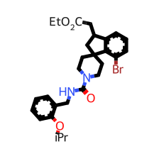 CCOC(=O)CC1CC2(CCN(C(=O)NCc3ccccc3OC(C)C)CC2)c2c(Br)cccc21